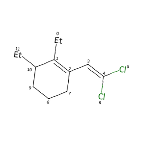 CCC1=C(C=C(Cl)Cl)CCCC1CC